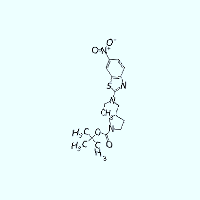 CCN(CC1CCN(C(=O)OC(C)(C)C)C1)c1nc2ccc([N+](=O)[O-])cc2s1